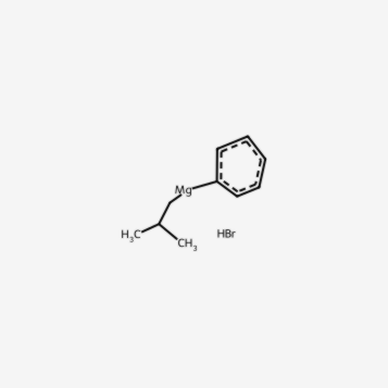 Br.CC(C)[CH2][Mg][c]1ccccc1